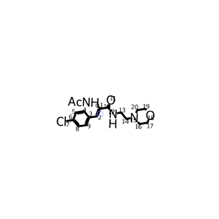 CC(=O)N/C(=C\c1ccc(Cl)cc1)C(=O)NCCN1CCOCC1